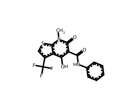 Cn1c(=O)c(C(=O)Nc2ccccc2)c(O)c2c(C(F)(F)F)csc21